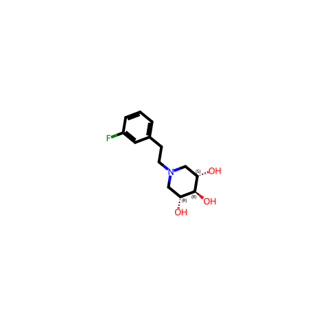 O[C@H]1[C@H](O)CN(CCc2cccc(F)c2)C[C@@H]1O